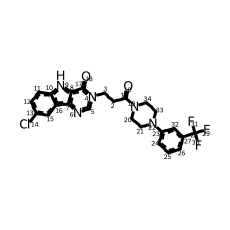 O=C(CCn1cnc2c([nH]c3ccc(Cl)cc32)c1=O)N1CCN(c2cccc(C(F)(F)F)c2)CC1